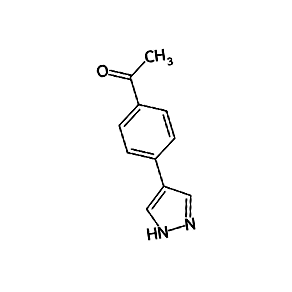 CC(=O)c1ccc(-c2cn[nH]c2)cc1